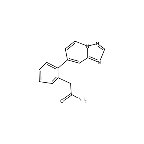 NC(=O)Cc1ccccc1-c1ccn2ncnc2c1